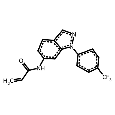 C=CC(=O)Nc1ccc2cnn(-c3ccc(C(F)(F)F)cc3)c2c1